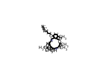 Cc1ccc(OCCCN=[N+]=[N-])c2c1C(=O)O[C@@H](C)[C@H](C)/C=C\C(O)[C@H]1OC(C)(C)O[C@H]1C/C=C/2